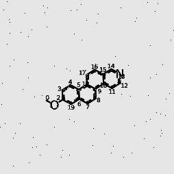 COc1ccc2c(ccc3c4ccncc4ccc23)c1